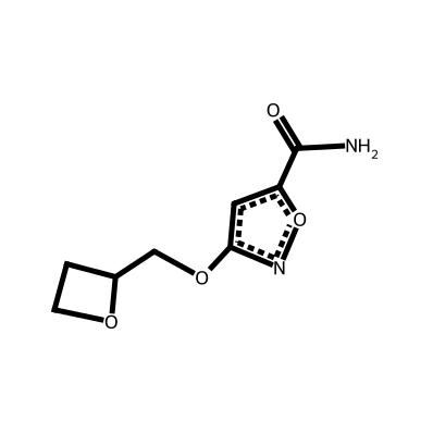 NC(=O)c1cc(OCC2CCO2)no1